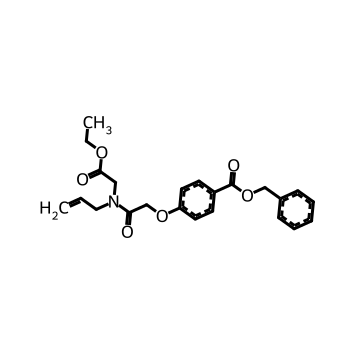 C=CCN(CC(=O)OCC)C(=O)COc1ccc(C(=O)OCc2ccccc2)cc1